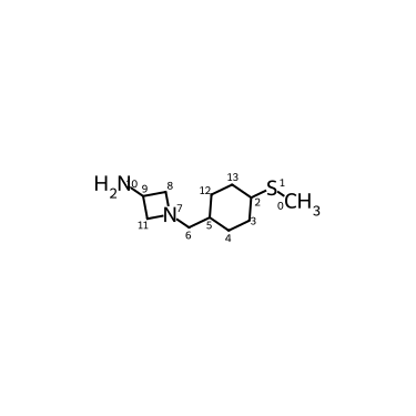 CSC1CCC(CN2CC(N)C2)CC1